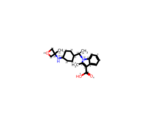 Cc1c(C(=O)O)c2ccccc2n1[C@H](C)C1CCC(NC2(C)COC2)CC1